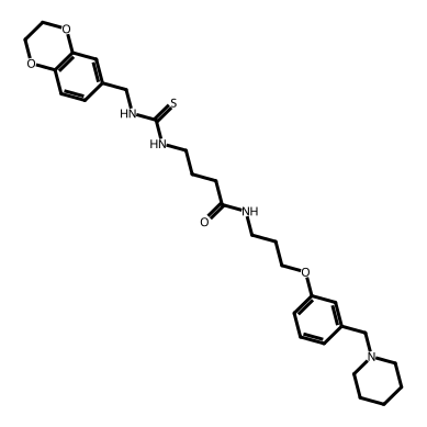 O=C(CCCNC(=S)NCc1ccc2c(c1)OCCO2)NCCCOc1cccc(CN2CCCCC2)c1